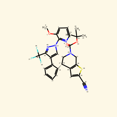 COc1cccnc1-n1cc(-c2ccccc2[C@@H]2CN(C(=O)OC(C)(C)C)Cc3sc(C#N)cc32)c(C(F)(F)F)n1